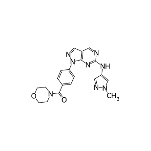 Cn1cc(Nc2ncc3cnn(-c4ccc(C(=O)N5CCOCC5)cc4)c3n2)cn1